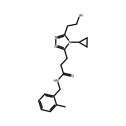 Cc1ccccc1CNC(=O)CCc1nnc(CCC(C)C)n1C1CC1